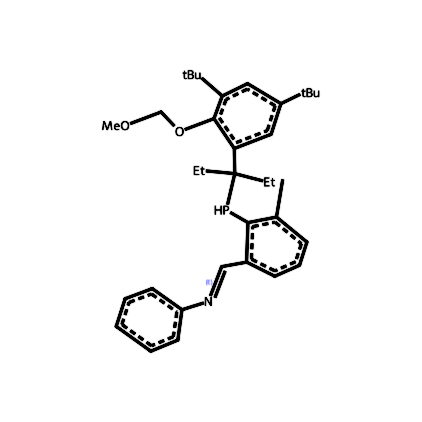 CCC(CC)(Pc1c(C)cccc1/C=N/c1ccccc1)c1cc(C(C)(C)C)cc(C(C)(C)C)c1OCOC